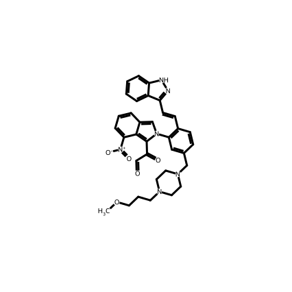 COCCCN1CCN(Cc2ccc(C=Cc3n[nH]c4ccccc34)c(-n3cc4cccc([N+](=O)[O-])c4c3C(=O)C=O)c2)CC1